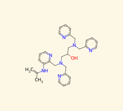 C=C(C)Nc1cccnc1CN(Cc1ccccn1)CC(O)CN(Cc1ccccn1)Cc1ccccn1